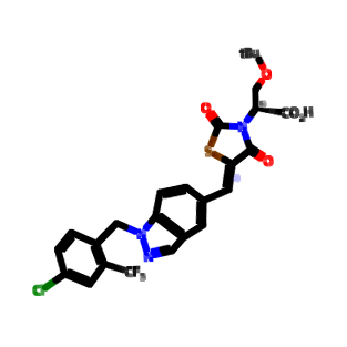 CC(C)(C)OC[C@@H](C(=O)O)N1C(=O)S/C(=C\c2ccc3c(cnn3Cc3ccc(Cl)cc3C(F)(F)F)c2)C1=O